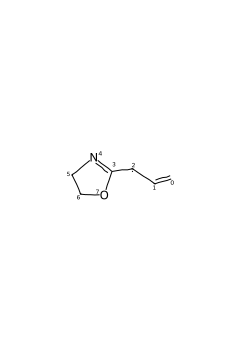 C=C[CH]C1=NCCO1